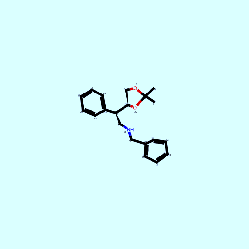 CC1(C)OC[C@H]([C@@H](CNCc2ccccc2)c2ccccc2)O1